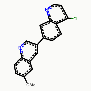 COc1ccc2n[c]c(-c3ccc4c(Cl)ccnc4c3)cc2c1